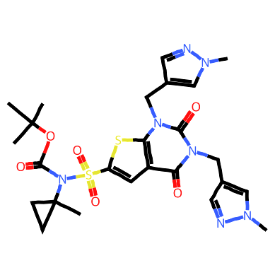 Cn1cc(Cn2c(=O)c3cc(S(=O)(=O)N(C(=O)OC(C)(C)C)C4(C)CC4)sc3n(Cc3cnn(C)c3)c2=O)cn1